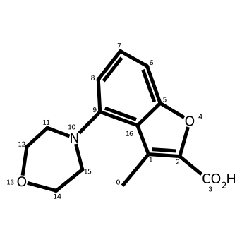 Cc1c(C(=O)O)oc2cccc(N3CCOCC3)c12